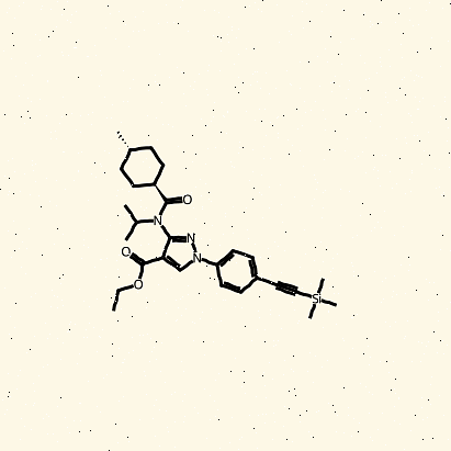 CCOC(=O)c1cn(-c2ccc(C#C[Si](C)(C)C)cc2)nc1N(C(=O)[C@H]1CC[C@H](C)CC1)C(C)C